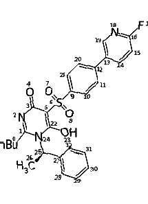 CCCCc1nc(=O)c(S(=O)(=O)c2ccc(-c3ccc(F)nc3)cc2)c(O)n1[C@H](C)c1ccccc1